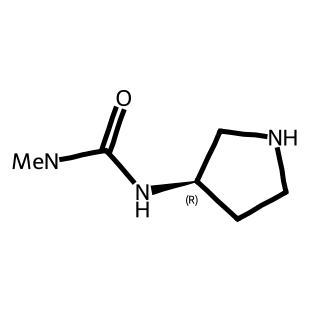 CNC(=O)N[C@@H]1CCNC1